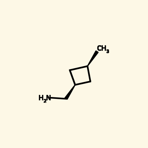 C[C@H]1C[C@@H](CN)C1